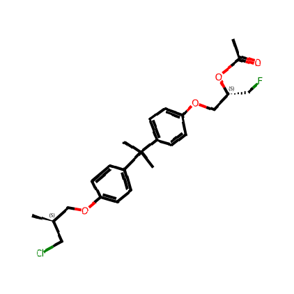 CC(=O)O[C@H](CF)COc1ccc(C(C)(C)c2ccc(OC[C@H](C)CCl)cc2)cc1